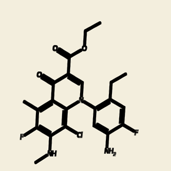 CCOC(=O)c1cn(-c2cc(N)c(F)cc2CC)c2c(Cl)c(NC)c(F)c(C)c2c1=O